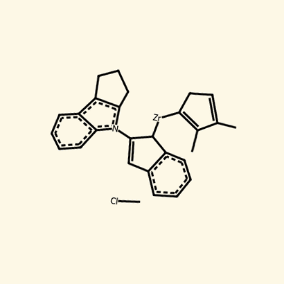 CC1=CC[C]([Zr][CH]2C(n3c4c(c5ccccc53)CCC4)=Cc3ccccc32)=C1C.CCl